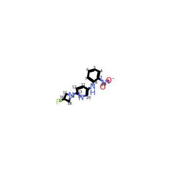 O=[N+]([O-])c1ccccc1Nc1ccc(N2CC(F)C2)nc1